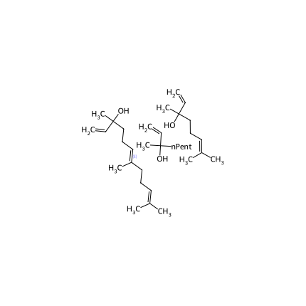 C=CC(C)(O)CC/C=C(\C)CCC=C(C)C.C=CC(C)(O)CCC=C(C)C.C=CC(C)(O)CCCCC